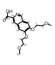 COCCOc1cc2cnc(C(=O)O)cc2cc1OCCOC